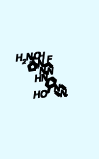 CN1CCN(c2ccc(Nc3ncc(F)c(N[C@H]4CCC[C@H]4C(N)=O)n3)cc2CO)CC1